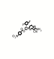 N#Cc1c(N)nn2ccc(N3C[C@@H](OC(=O)c4ccc([N+](=O)[O-])cc4)C[C@@H]3c3cc(F)ccc3F)nc12